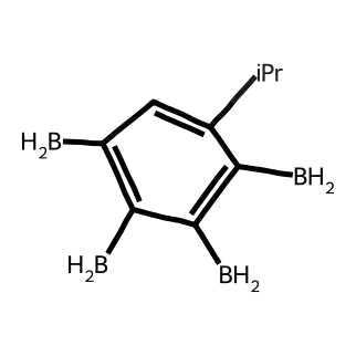 Bc1cc(C(C)C)c(B)c(B)c1B